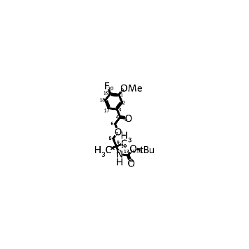 COc1cc(C(=O)COCC(C)(C)NC(=O)OC(C)(C)C)ccc1F